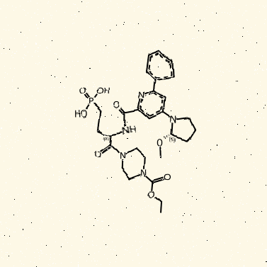 CCOC(=O)N1CCN(C(=O)[C@@H](CCP(=O)(O)O)NC(=O)c2cc(N3CCC[C@@H]3OC)cc(-c3ccccc3)n2)CC1